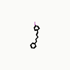 Ic1ccc(C=CCCCc2ccccc2)cc1